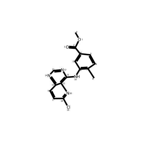 COC(=O)c1ccc(C)c(Nc2ncnc3ccc(Cl)nc23)c1